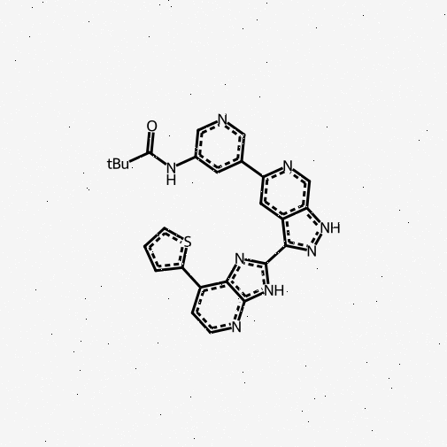 CC(C)(C)C(=O)Nc1cncc(-c2cc3c(-c4nc5c(-c6cccs6)ccnc5[nH]4)n[nH]c3cn2)c1